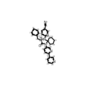 N#Cc1ccc(NC2(N(C(=O)NCc3ccccc3)c3ccc(-c4cccnc4)nc3)CCCCC2)nc1